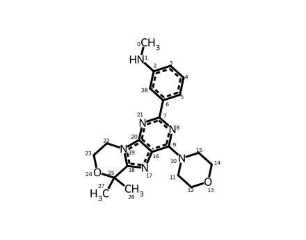 CNc1cccc(-c2nc(N3CCOCC3)c3nc4n(c3n2)CCOC4(C)C)c1